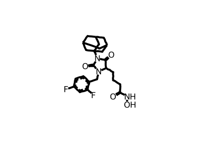 O=C(CCCC1C(=O)N(C23CC4CC(CC(C4)C2)C3)C(=O)N1Cc1ccc(F)cc1F)NO